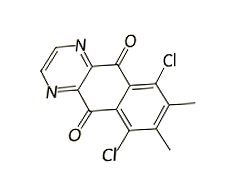 Cc1c(C)c(Cl)c2c(c1Cl)C(=O)c1nccnc1C2=O